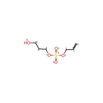 C=CCOS(=O)(=O)OCCCO